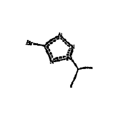 CC(C)n1nnc(Br)n1